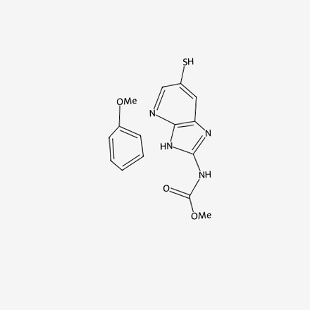 COC(=O)Nc1nc2cc(S)cnc2[nH]1.COc1ccccc1